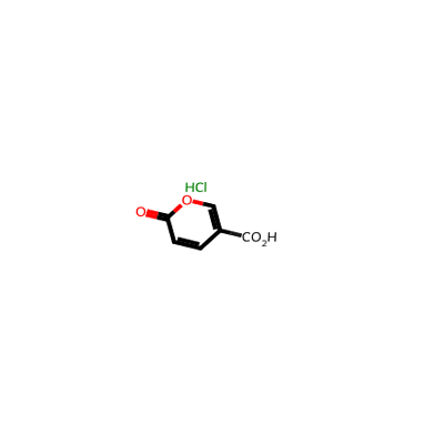 Cl.O=C(O)c1ccc(=O)oc1